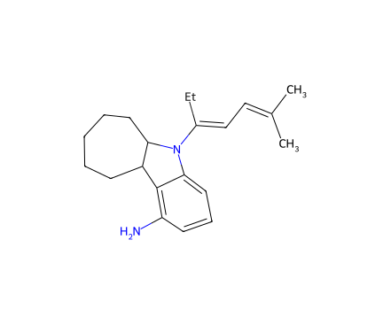 CC/C(=C\C=C(C)C)N1c2cccc(N)c2C2CCCCCC21